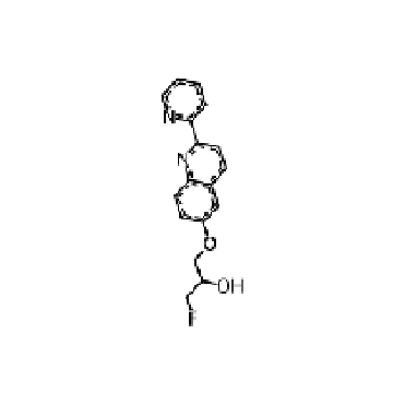 OC(CF)COc1ccc2nc(-c3ccccn3)ccc2c1